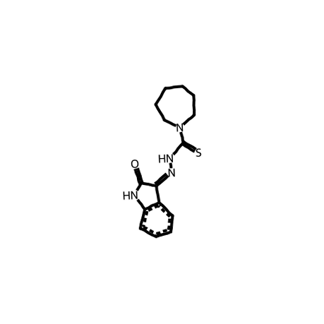 O=C1Nc2ccccc2/C1=N/NC(=S)N1CCCCCC1